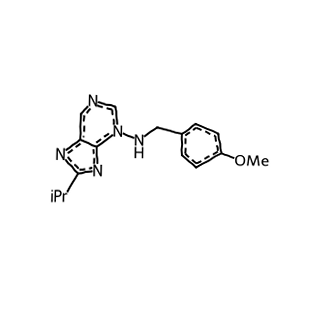 COc1ccc(CNn2cncc3nc(C(C)C)nc2-3)cc1